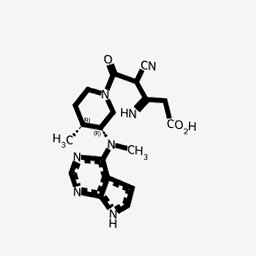 C[C@@H]1CCN(C(=O)C(C#N)C(=N)CC(=O)O)C[C@@H]1N(C)c1ncnc2[nH]ccc12